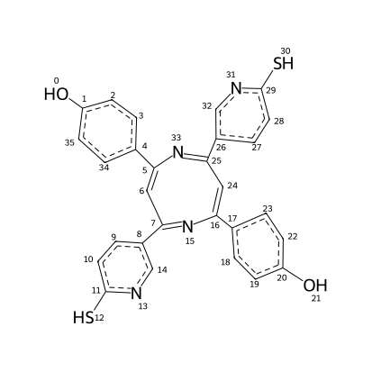 Oc1ccc(C2=CC(c3ccc(S)nc3)=NC(c3ccc(O)cc3)=CC(c3ccc(S)nc3)=N2)cc1